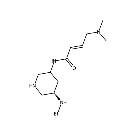 CCN[C@H]1CNCC(NC(=O)/C=C/CN(C)C)C1